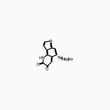 O=C1C=c2ccc3c(c2NC1=O)C=CN=3.[Na].[Na].[Na].[Na]